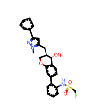 Cn1nc(-c2ccccc2)cc1C[C@@H]1COc2cc(-c3ccccc3NS(=O)(=O)CF)ccc2[C@H]1O